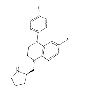 Fc1ccc(N2CCN(C[C@H]3CCCN3)c3ccc(F)cc32)cc1